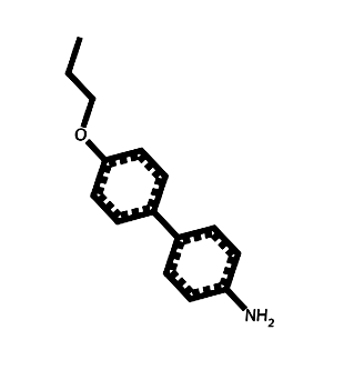 CCCOc1ccc(-c2ccc(N)cc2)cc1